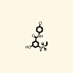 C=CS(=O)(=O)N(C)c1cc(O)cc(C(=O)Nc2ccc(Cl)cc2)c1